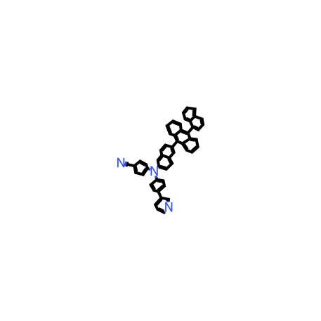 N#Cc1ccc(N(c2ccc(-c3cccnc3)cc2)c2ccc3cc(-c4c5ccccc5c(-c5cccc6ccccc56)c5ccccc45)ccc3c2)cc1